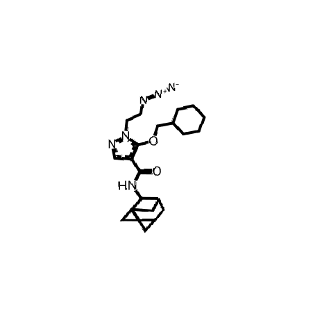 [N-]=[N+]=NCCn1ncc(C(=O)NC2C3CC4CC45CC25C3)c1OCC1CCCCC1